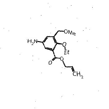 C=CCOC(=O)c1cc(N)cc(COC)c1OCC